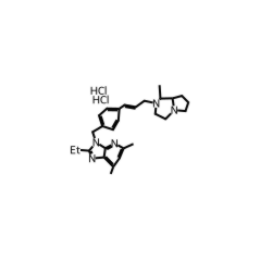 CCc1nc2c(C)cc(C)nc2n1Cc1ccc(C=CCN2CCN3CCCC3C2C)cc1.Cl.Cl